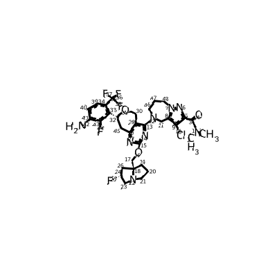 CN(C)C(=O)c1nn2c(c1Cl)CN(c1nc(OC[C@@]34CCCN3C[C@H](F)C4)nc3c1CO[C@@H](c1c(C(F)(F)F)ccc(N)c1F)C3)CCC2